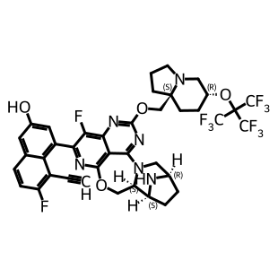 C#Cc1c(F)ccc2cc(O)cc(-c3nc4c5c(nc(OC[C@@]67CCCN6C[C@H](OC(C(F)(F)F)(C(F)(F)F)C(F)(F)F)CC7)nc5c3F)N3C[C@H]5CC[C@H](N5)[C@H]3CO4)c12